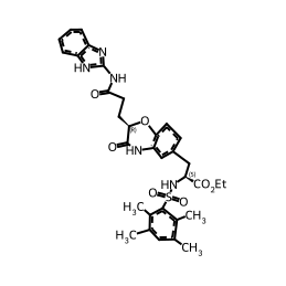 CCOC(=O)[C@H](Cc1ccc2c(c1)NC(=O)[C@@H](CCC(=O)Nc1nc3ccccc3[nH]1)O2)NS(=O)(=O)c1c(C)c(C)cc(C)c1C